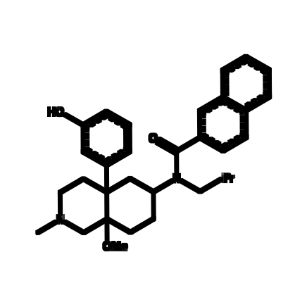 COC12CCC(N(CC(C)C)C(=O)c3ccc4ccccc4c3)CC1(c1cccc(O)c1)CCN(C)C2